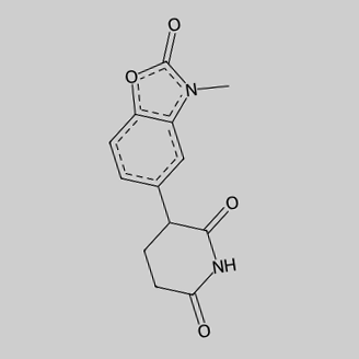 Cn1c(=O)oc2ccc(C3CCC(=O)NC3=O)cc21